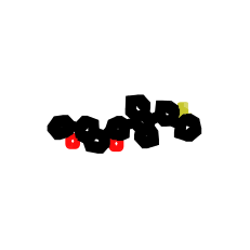 c1ccc2c(c1)oc1c2ccc2c1ccc1oc3cc(-c4c5ccccc5c(-c5ccc6sc7ccccc7c6c5)c5ccccc45)ccc3c12